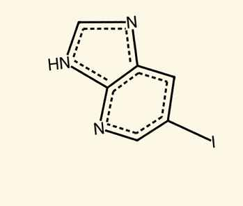 Ic1cnc2[nH]cnc2c1